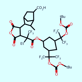 CCC(C(=O)OC1CC(C(OC(=O)OC(C)(C)C)(C(F)(F)F)C(F)(F)F)CC(C(OC(=O)OC(C)(C)C)(C(F)(F)F)C(F)(F)F)C1)(C1C(=O)OC(=O)C1C1C2CC(C(=O)O)C(C2)C1C)C(F)(F)F